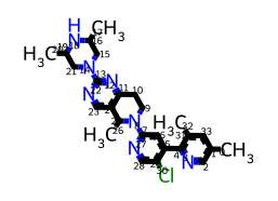 Cc1cnc(-c2cc(N3CCc4nc(N5CC(C)NC(C)C5)ncc4C3C)ncc2Cl)c(C)c1